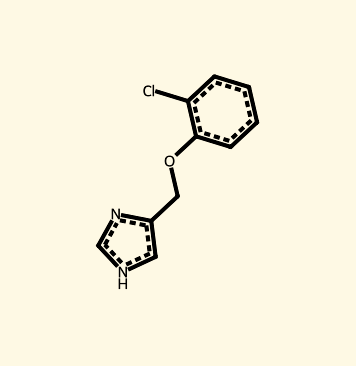 Clc1ccccc1OCc1c[nH]cn1